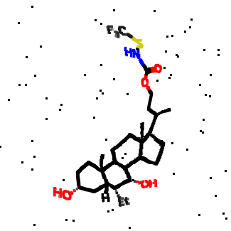 CC[C@H]1[C@@H](O)C2C3CC[C@H]([C@H](C)CCOC(=O)NSC(F)(F)F)[C@@]3(C)CCC2[C@@]2(C)CC[C@@H](O)C[C@@H]12